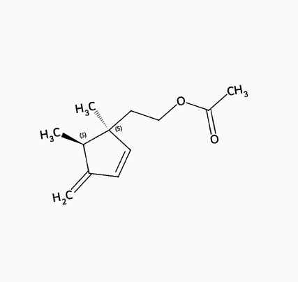 C=C1C=C[C@](C)(CCOC(C)=O)[C@@H]1C